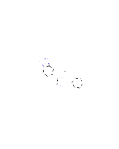 Cc1cccc(N2NC(Cl)=C(c3ccc4[nH]nnc4c3)N2C(C)(C)C)c1